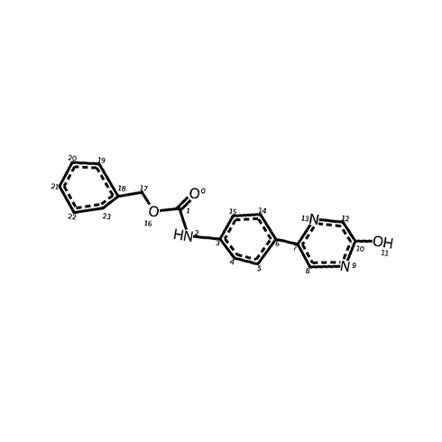 O=C(Nc1ccc(-c2cnc(O)cn2)cc1)OCc1ccccc1